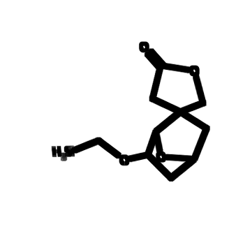 O=C1CC2(CO1)CC1CC(OC[SiH3])C2O1